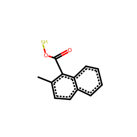 Cc1ccc2ccccc2c1C(=O)OS